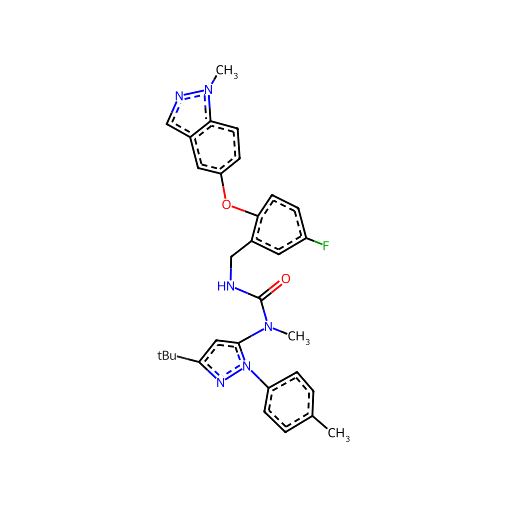 Cc1ccc(-n2nc(C(C)(C)C)cc2N(C)C(=O)NCc2cc(F)ccc2Oc2ccc3c(cnn3C)c2)cc1